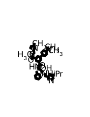 Cc1csc(CN(C)C(=O)c2cc(C(=O)N[C@@H](Cc3ccccc3)[C@H](O)CNCc3cncc(C(C)C)c3)cc(-c3ccc(N(C)C)cc3)c2)n1